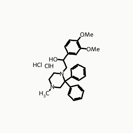 COc1ccc(C(O)CN2CCN(C)CC2(c2ccccc2)c2ccccc2)cc1OC.Cl.Cl